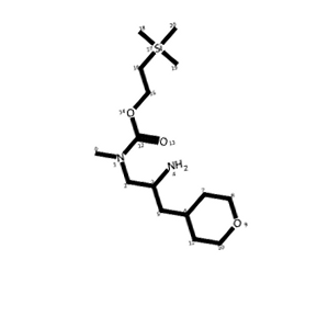 CN(CC(N)CC1CCOCC1)C(=O)OCC[Si](C)(C)C